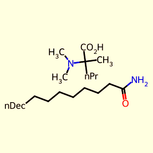 CCCC(C)(C(=O)O)N(C)C.CCCCCCCCCCCCCCCCCC(N)=O